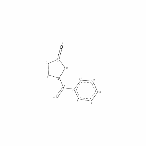 O=C1CCC(C(=O)c2ccccc2)C1